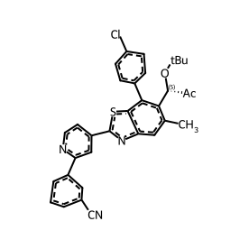 CC(=O)[C@@H](OC(C)(C)C)c1c(C)cc2nc(-c3ccnc(-c4cccc(C#N)c4)c3)sc2c1-c1ccc(Cl)cc1